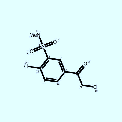 CNS(=O)(=O)c1cc(C(=O)CCl)ccc1Cl